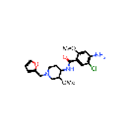 COc1cc(N)c(Cl)cc1C(=O)NC1CCN(Cc2ccco2)CC1OC